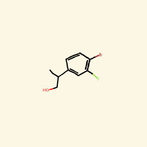 C[C](CO)c1ccc(Br)c(F)c1